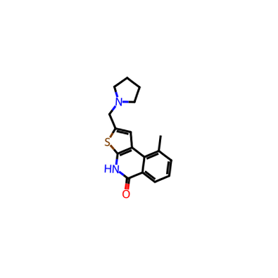 Cc1cccc2c(=O)[nH]c3sc(CN4CCCC4)cc3c12